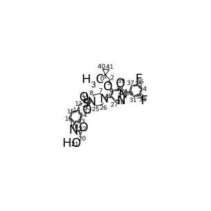 CC1(COc2c(N3CCN(S(=O)(=O)Cc4ccc5nc(CO)oc5c4)CC3)cnn(-c3cc(F)cc(F)c3)c2=O)CC1